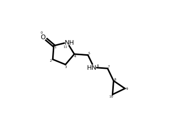 O=C1CCC(CNCC2CC2)N1